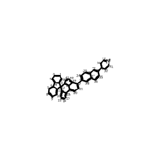 c1ccc2c(c1)-c1ccccc1C21c2ccccc2-c2ccc(-c3ccc4cc(-c5ccncc5)ccc4c3)c3cccc1c23